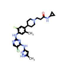 Cc1cc(Nc2nc(Nc3cc(C)c(C4CCN(CCC(=O)NC5CC5)CC4)cc3F)ncc2Cl)n[nH]1